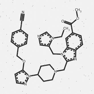 CCn1cncc1Cn1c(CN2CCC(n3nccc3OCc3ccc(C#N)cc3)CC2)nc2ccc(C(=O)OC)cc21